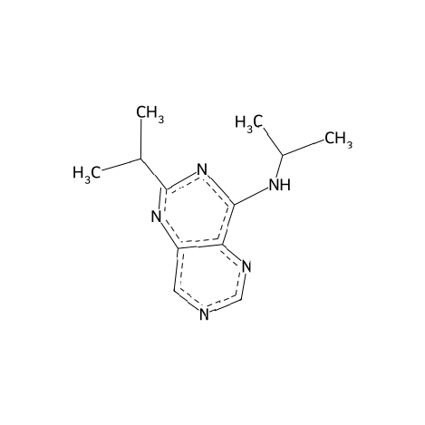 CC(C)Nc1nc(C(C)C)nc2cncnc12